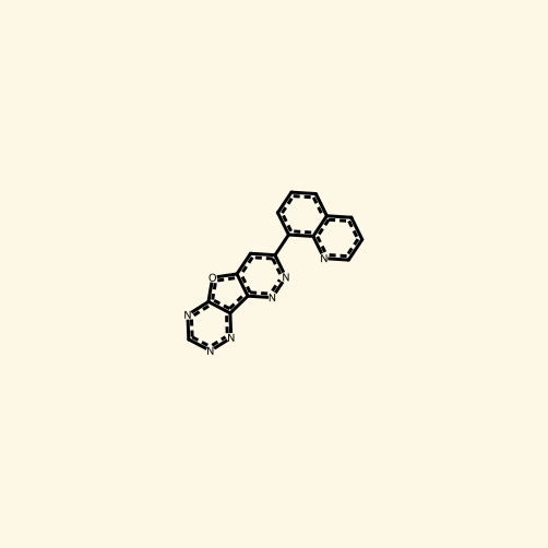 c1cnc2c(-c3cc4oc5ncnnc5c4nn3)cccc2c1